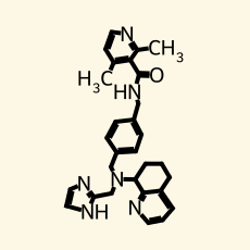 Cc1ccnc(C)c1C(=O)NCc1ccc(CN(Cc2ncc[nH]2)C2CCCc3cccnc32)cc1